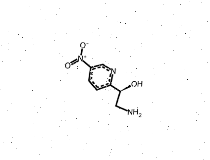 NC[C@H](O)c1ccc([N+](=O)[O-])cn1